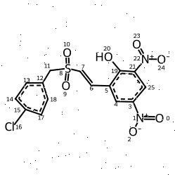 O=[N+]([O-])c1cc(C=CS(=O)(=O)Cc2ccc(Cl)cc2)c(O)c([N+](=O)[O-])c1